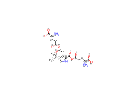 C=C(C)[C@H]1CN[C@H](C(=O)OC(=O)CC[C@@H](N)C(=O)O)[C@H]1CC(=O)OC(=O)CC[C@@H](N)C(=O)O